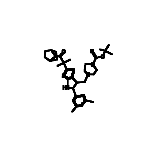 Cc1cc(C)cc(C2Nc3sc(C(C)(C)C(=O)N4C5CCC4CC5)cc3C2CN2CCN(C(=O)OC(C)(C)C)CC2)c1